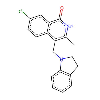 Cc1[nH]c(=O)c2cc(Cl)ccc2c1CN1CCc2ccccc21